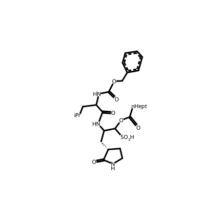 CCCCCCCC(=O)OC(C(C[C@@H]1CCNC1=O)NC(=O)C(CC(C)C)NC(=O)OCc1ccccc1)S(=O)(=O)O